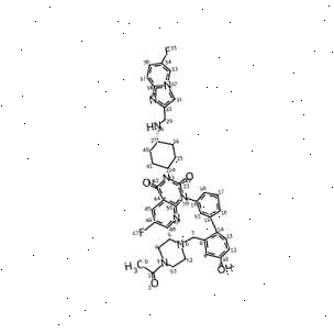 CC(=O)N1CCN(Cc2cc(O)ccc2-c2cccc(-n3c(=O)n([C@H]4CC[C@@H](NCc5cn6cc(F)ccc6n5)CC4)c(=O)c4cc(F)cnc43)c2)CC1